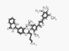 CCCCC(Oc1ccc(C2NC(=O)c3ccccc3N2)cc1OC)Oc1c(OC)cc(-c2cc(-c3cc(OC)c(OC)c(OC)c3)on2)cc1OC